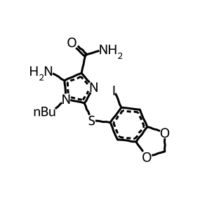 CCCCn1c(Sc2cc3c(cc2I)OCO3)nc(C(N)=O)c1N